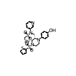 CC(C)CS(=O)(=O)N(C[C@H]1CN(S(=O)(=O)c2cccs2)CCN1c1ccc(O)cc1)c1cccnc1